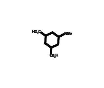 CNC1CC(C(=O)O)CC(C(=O)O)C1